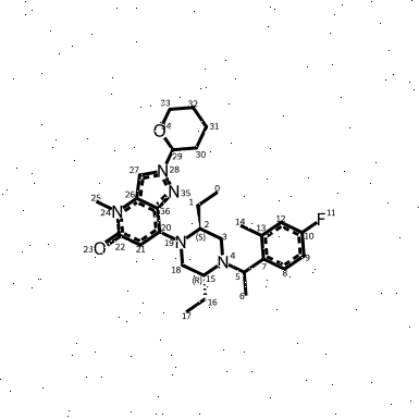 CC[C@H]1CN(C(C)c2ccc(F)cc2C)[C@H](CC)CN1c1cc(=O)n(C)c2cn(C3CCCCO3)nc12